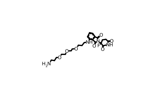 NCCCOCCOCCOCCCNc1cccc2c1C(=O)N(C1(F)CCC(=O)NC1=O)C2=O